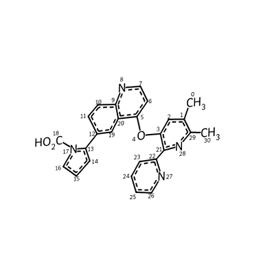 Cc1cc(Oc2ccnc3ccc(-c4cccn4C(=O)O)cc23)c(-c2ccccn2)nc1C